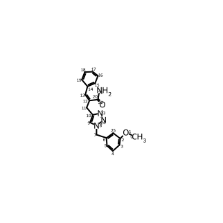 COc1cccc(Cn2cc(CC(=Cc3ccccc3)C(N)=O)nn2)c1